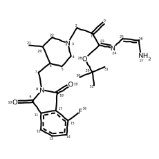 C=C(CN1CCC(CN2C(=O)c3cccc(F)c3C2=O)C(C)C1)/C(=N\C=C/N)OC(C)(C)C